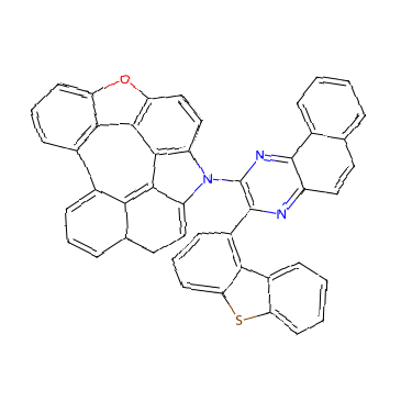 C1=CC2CC=c3c4c5c6c(ccc5n3-c3nc5c(ccc7ccccc75)nc3-c3cccc5sc7ccccc7c35)oc3cccc(c36)C(=C1)C=42